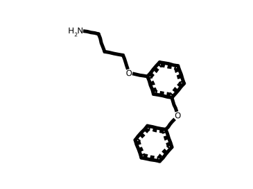 NCCCOc1cccc(Oc2ccccc2)c1